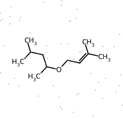 CC(C)=CCOC(C)CC(C)C